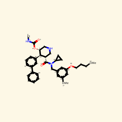 CCNC(=O)O[C@@H]1CNC[C@H](C(=O)N(Cc2cc(OC)cc(OCCCOC)c2)C2CC2)[C@H]1c1cccc(-c2ccccc2)c1